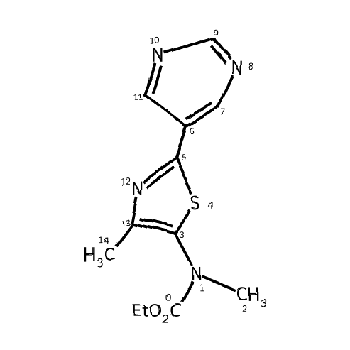 CCOC(=O)N(C)c1sc(-c2cncnc2)nc1C